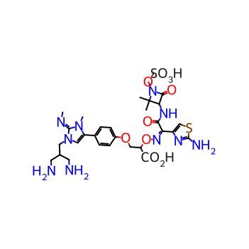 C/N=c1/n(CC(CN)CN)cc(-c2ccc(OCC(O/N=C(\C(=O)NC3C(=O)N(OS(=O)(=O)O)C3(C)C)c3csc(N)n3)C(=O)O)cc2)n1C